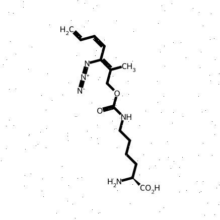 C=C/C=C\C(N=[N+]=[N-])=C(/C)COC(=O)NCCCC[C@H](N)C(=O)O